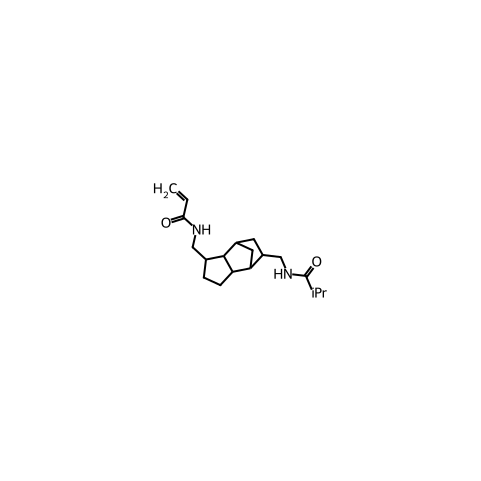 C=CC(=O)NCC1CCC2C3CC(CC3CNC(=O)C(C)C)C12